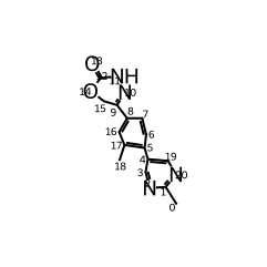 Cc1ncc(-c2ccc(C3=NNC(=O)OC3)cc2C)cn1